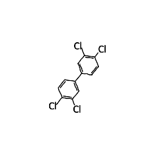 Clc1ccc(-c2ccc(Cl)c(Cl)c2)cc1Cl